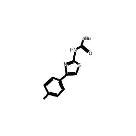 CCCCC(=O)Nc1nc(-c2ccc(C)cc2)cs1